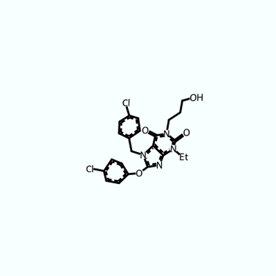 CCn1c(=O)n(CCCO)c(=O)c2c1nc(Oc1ccc(Cl)cc1)n2Cc1ccc(Cl)cc1